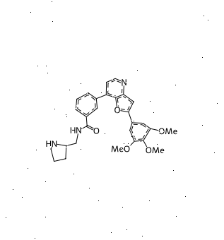 COc1cc(-c2cc3nccc(-c4cccc(C(=O)NCC5CCCN5)c4)c3o2)cc(OC)c1OC